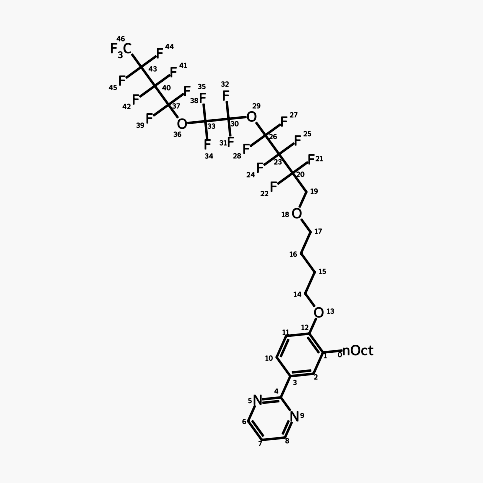 CCCCCCCCc1cc(-c2ncccn2)ccc1OCCCCOCC(F)(F)C(F)(F)C(F)(F)OC(F)(F)C(F)(F)OC(F)(F)C(F)(F)C(F)(F)C(F)(F)F